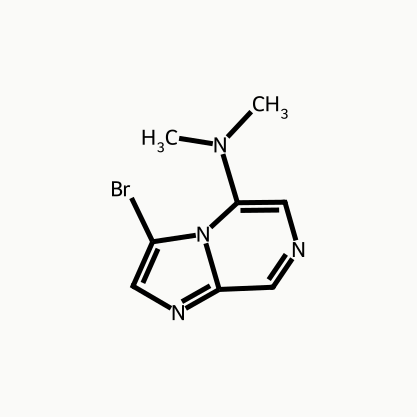 CN(C)c1cncc2ncc(Br)n12